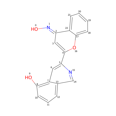 ON=c1cc(-c2cc3c(O)cccc3cn2)oc2ccccc12